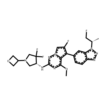 COc1nc(N[C@@H]2CN(C3COC3)CC2(F)F)nn2cc(F)c(-c3ccc4nnn([C@@H](C)CF)c4c3)c12